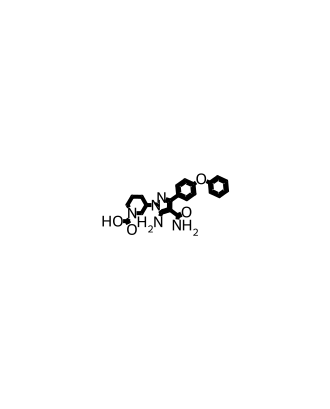 NC(=O)c1c(-c2ccc(Oc3ccccc3)cc2)nn(C2CCCN(C(=O)O)C2)c1N